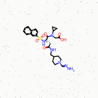 NN=CN1CCC(CNC(=O)C[C@H](NS(=O)(=O)c2ccc3ccccc3c2)C(=O)N(CC(=O)O)C2CC2)CC1